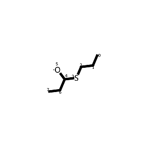 CCCSC([O])CC